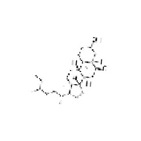 CCC(C)CC[C@@H](C)[C@H]1CC[C@H]2[C@@H]3CC(=O)[C@H]4C[C@H](O)CC[C@]4(C)[C@H]3CC[C@]12C